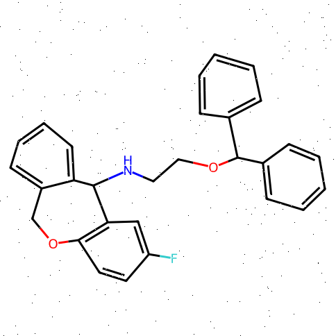 Fc1ccc2c(c1)C(NCCOC(c1ccccc1)c1ccccc1)c1ccccc1CO2